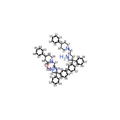 NCC(CCCN1CCC(c2ccccc2)CC1)(c1ccccc1)c1ccccc1.O=CNCC(CCCN1CCC(c2ccccc2)CC1)(c1ccccc1)c1ccccc1